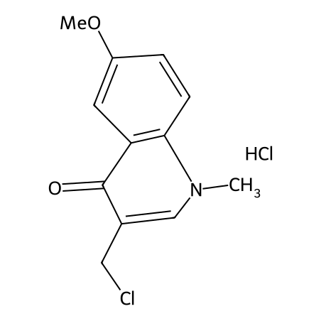 COc1ccc2c(c1)c(=O)c(CCl)cn2C.Cl